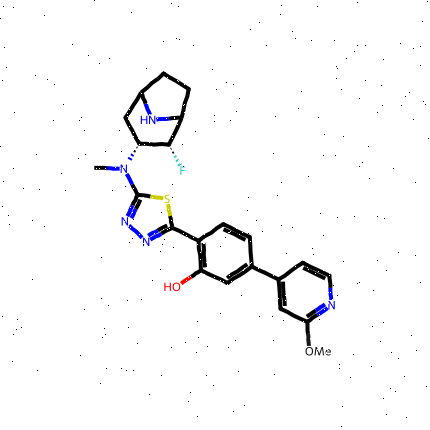 COc1cc(-c2ccc(-c3nnc(N(C)[C@@H]4CC5CCC(N5)[C@@H]4F)s3)c(O)c2)ccn1